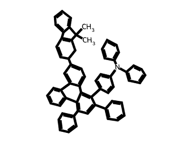 CC1(C)C2=C(C=CC(c3ccc4c(c3)c3ccccc3c3c(-c5ccccc5)cc(-c5ccccc5)c(-c5ccc(N(c6ccccc6)c6ccccc6)cc5)c43)C2)c2ccccc21